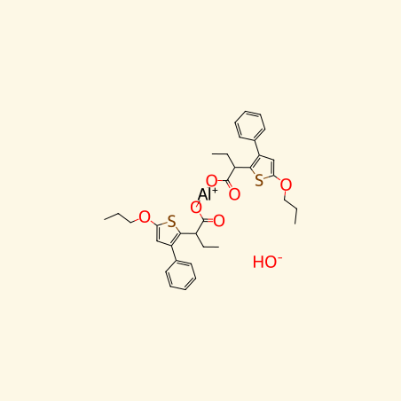 CCCOc1cc(-c2ccccc2)c(C(CC)C(=O)[O][Al+][O]C(=O)C(CC)c2sc(OCCC)cc2-c2ccccc2)s1.[OH-]